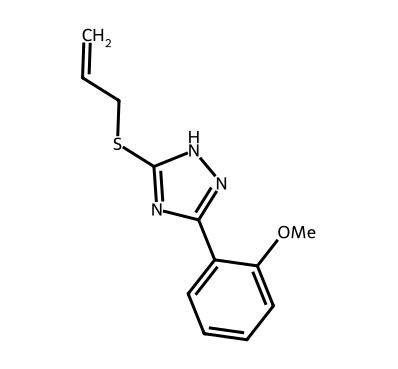 C=CCSc1nc(-c2ccccc2OC)n[nH]1